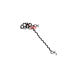 C#C[C@]1(OC(=O)CCCCCCCCCCCCCCCCCCC)CC[C@H]2[C@@H]3CCC4CC=CC[C@@H]4[C@H]3CC[C@@]21C